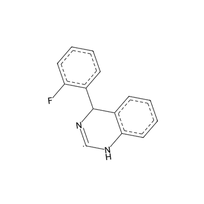 Fc1ccccc1C1N=[C]Nc2ccccc21